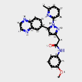 COc1cccc(NC(=O)Cc2cc(-c3ccc4nccnc4c3)n(-c3cccc(C)n3)n2)c1